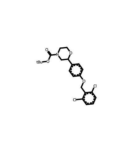 CC(C)(C)OC(=O)N1CCOC(c2ccc(OCc3c(Cl)cccc3Cl)cc2)C1